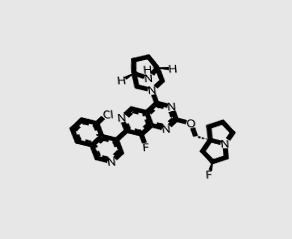 Fc1c(-c2cncc3cccc(Cl)c23)ncc2c(N3C[C@H]4CC[C@@H](C3)N4)nc(OC[C@]34CCCN3C[C@@H](F)C4)nc12